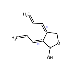 C=C/C=C1/B(O)OC/C1=C/C=C